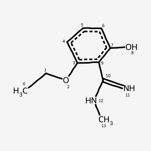 CCOc1cccc(O)c1C(=N)NC